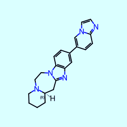 c1cn2cc(-c3ccc4c(c3)nc3n4CCN4CCCC[C@@H]4C3)ccc2n1